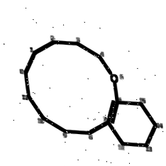 C1CCCCOC2=C(CCCC1)CCCC2